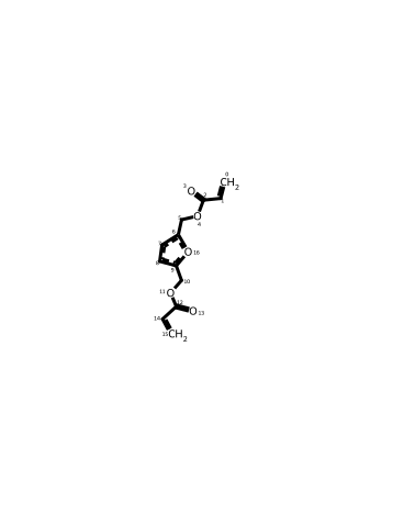 C=CC(=O)OCc1ccc(COC(=O)C=C)o1